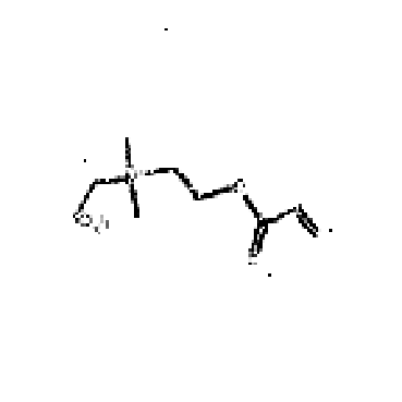 C=CC(=O)OCC[N+](C)(C)CS(=O)(=O)O